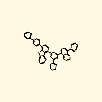 C1=CC(c2nc(-c3ccc(-c4ccccc4)c4ccccc34)nc(-c3ccc(-c4ccc(-c5ccccc5)cc4)c4oc5ccccc5c34)n2)=CCC1